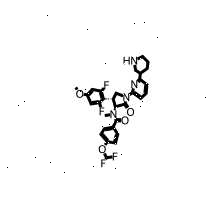 COc1cc(F)c([C@@H]2CN(c3cccc(C4CCCNC4)n3)C(=O)[C@H]2N(C)C(=O)c2ccc(OC(F)F)cc2)c(F)c1